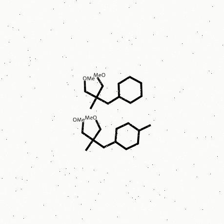 COCC(C)(COC)CC1CCC(C)CC1.COCC(C)(COC)CC1CCCCC1